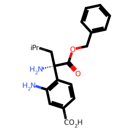 CC(C)C[C@@](N)(C(=O)OCc1ccccc1)c1ccc(C(=O)O)cc1N